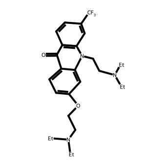 CCN(CC)CCOc1ccc2c(=O)c3ccc(C(F)(F)F)cc3n(CCN(CC)CC)c2c1